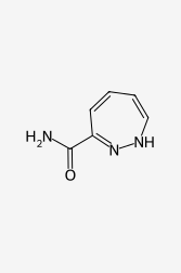 NC(=O)C1=NNC=CC=C1